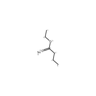 CCCC(=O)OCC.[Sn]